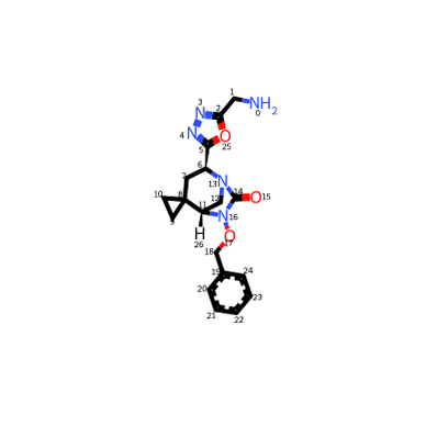 NCc1nnc([C@@H]2CC3(CC3)[C@@H]3CN2C(=O)N3OCc2ccccc2)o1